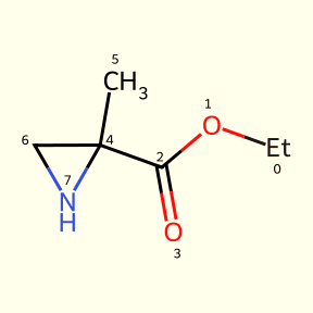 CCOC(=O)C1(C)CN1